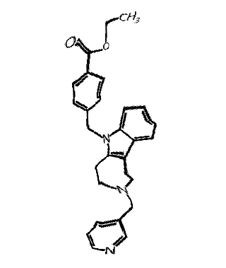 CCOC(=O)c1ccc(Cn2c3c(c4ccccc42)CN(Cc2cccnc2)CC3)cc1